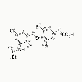 CCC(=O)Nc1cc(Cl)cc(COc2c(Br)cc(CC(=O)O)cc2Br)c1F